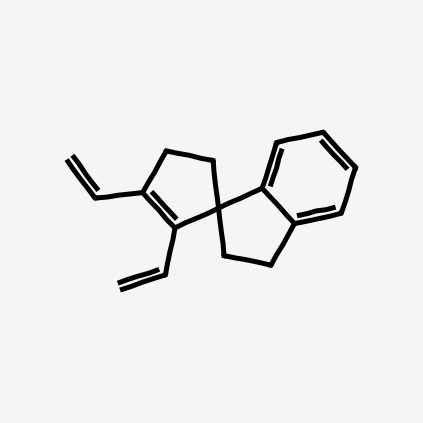 C=CC1=C(C=C)C2(CC1)CCc1ccccc12